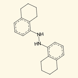 c1cc2c(c(NNc3cccc4c3CCCC4)c1)CCCC2